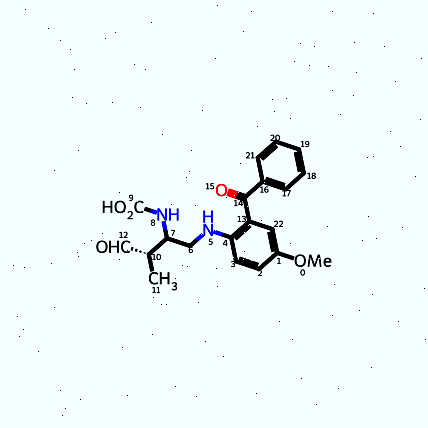 COc1ccc(NCC(NC(=O)O)[C@H](C)C=O)c(C(=O)c2ccccc2)c1